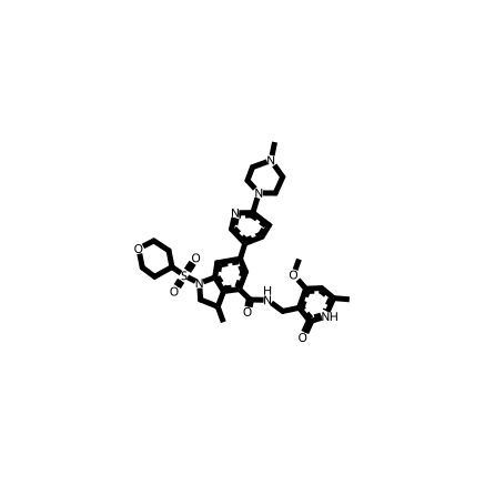 COc1cc(C)[nH]c(=O)c1CNC(=O)c1cc(-c2ccc(N3CCN(C)CC3)nc2)cc2c1C(C)CN2S(=O)(=O)C1CCOCC1